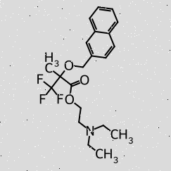 CCN(CC)CCOC(=O)C(C)(OCc1ccc2ccccc2c1)C(F)(F)F